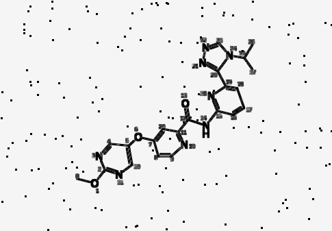 COc1ncc(Oc2ccnc(C(=O)Nc3cccc(-c4nncn4C(C)C)n3)c2)cn1